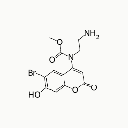 COC(=O)N(CCN)c1cc(=O)oc2cc(O)c(Br)cc12